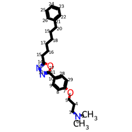 CN(C)CCCOc1ccc(-c2nnc(CCCCCCc3ccccc3)o2)cc1